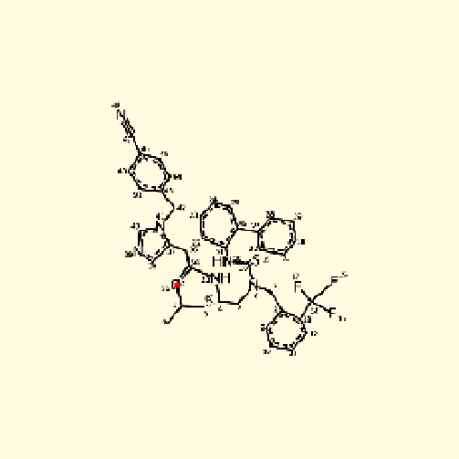 CC(C)C[C@@H](CN(Cc1ccccc1C(F)(F)F)C(=S)Nc1ccccc1-c1ccccc1)NC(=O)Cc1cncn1Cc1ccc(C#N)cc1